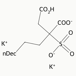 CCCCCCCCCCCCC(CC(=O)O)(C(=O)[O-])S(=O)(=O)[O-].[K+].[K+]